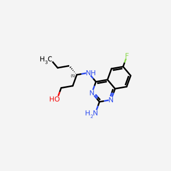 CCC[C@@H](CCO)Nc1nc(N)nc2ccc(F)cc12